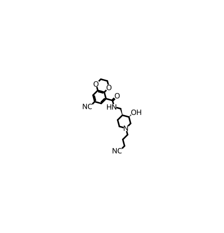 N#CCCCN1CC[C@@H](CNC(=O)c2cc(C#N)cc3c2OCCO3)[C@H](O)C1